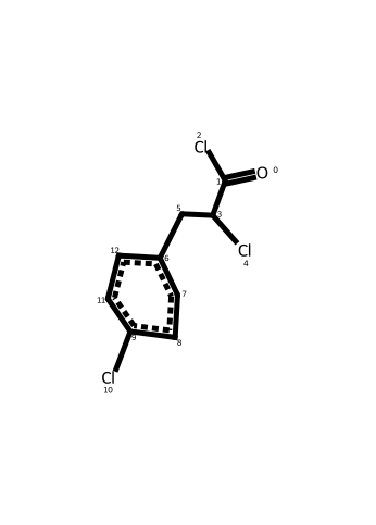 O=C(Cl)C(Cl)Cc1ccc(Cl)cc1